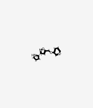 c1cncc(OCc2cc([C@@H]3CCCN3)no2)c1